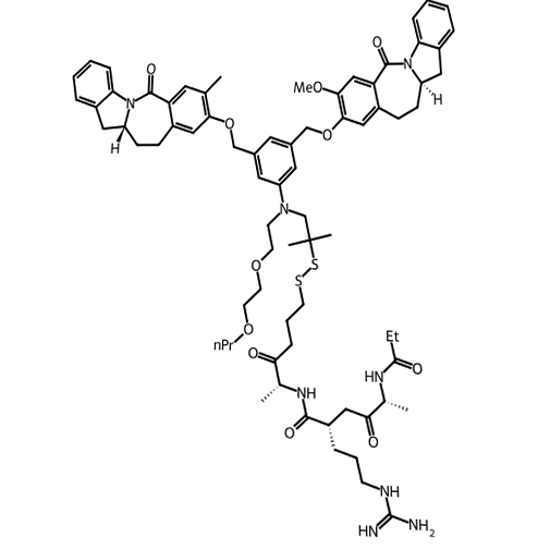 CCCOCCOCCN(CC(C)(C)SSCCCC(=O)[C@@H](C)NC(=O)[C@@H](CCCNC(=N)N)CC(=O)[C@@H](C)NC(=O)CC)c1cc(COc2cc3c(cc2C)C(=O)N2c4ccccc4C[C@H]2CC3)cc(COc2cc3c(cc2OC)C(=O)N2c4ccccc4C[C@H]2CC3)c1